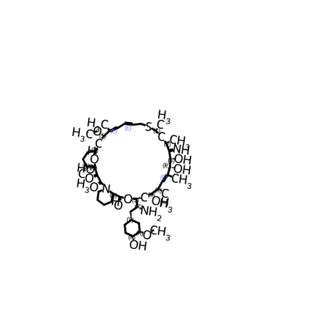 CO[C@H]1C[C@@H]2CC[C@@H](C)[C@@](O)(O2)C(=O)C(=O)N2CCCC[C@H]2C(=O)O[C@H]([C@H](N)C[C@@H]2CC[C@@H](O)[C@H](OC)C2)C[C@@H](O)[C@H](C)/C=C(\C)[C@@H](O)[C@@H](O)C(=N)[C@H](C)C[C@H](C)SC/C=C/C=C/1C